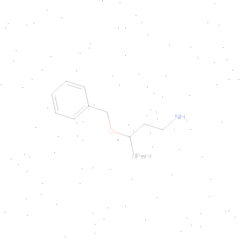 CCCCCC(CCN)OCc1ccccc1